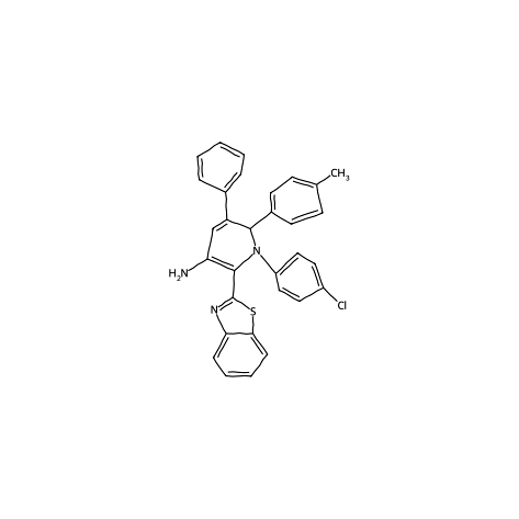 Cc1ccc(C2C(c3ccccc3)=CC(N)=C(c3nc4ccccc4s3)N2c2ccc(Cl)cc2)cc1